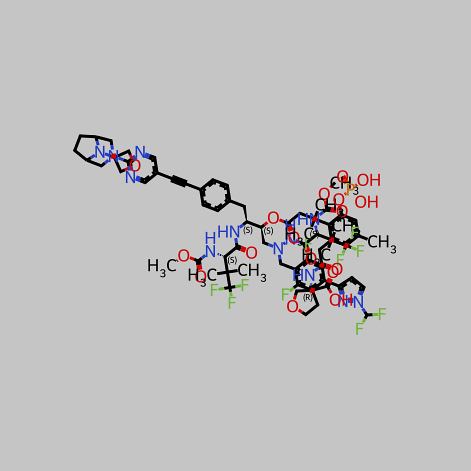 COC(=O)N[C@H](C(=O)N[C@@H](Cc1ccc(C#Cc2cnc(N3CC4CCC(C3)N4C3COC3)nc2)cc1)[C@H](CN(Cc1c(F)cc(-c2ccn(C(F)F)n2)cc1F)NC(=O)[C@@H](NC(=O)OC)C(C)(C)C(F)(F)F)OC(=O)CC(C)(C)c1c(CC(=O)N[C@]2(C(=O)O)CCOC2)cc(C)cc1OP(=O)(O)O)C(C)(C)C(F)(F)F